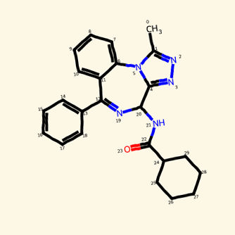 Cc1nnc2n1-c1ccccc1C(c1ccccc1)=NC2NC(=O)C1CCCCC1